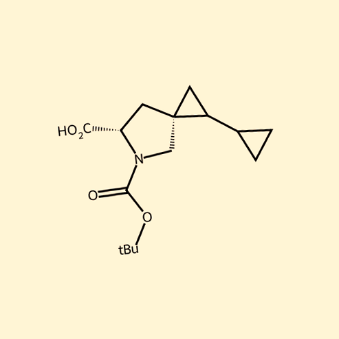 CC(C)(C)OC(=O)N1C[C@@]2(CC2C2CC2)C[C@H]1C(=O)O